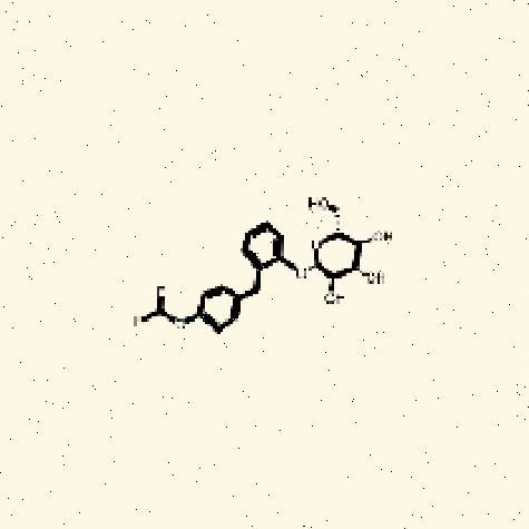 OC[C@H]1O[C@@H](Oc2ccccc2Cc2ccc(OC(F)F)cc2)[C@H](O)[C@@H](O)[C@@H]1O